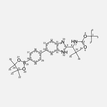 CC(C)(C)OC(=O)NC(c1nc2ccc(-c3ccc(B4OC(C)(C)C(C)(C)O4)cc3)cc2[nH]1)C(C)(C)C